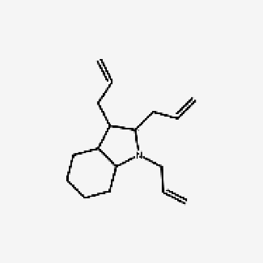 C=CC[C]1C(CC=C)C2CCCCC2N1CC=C